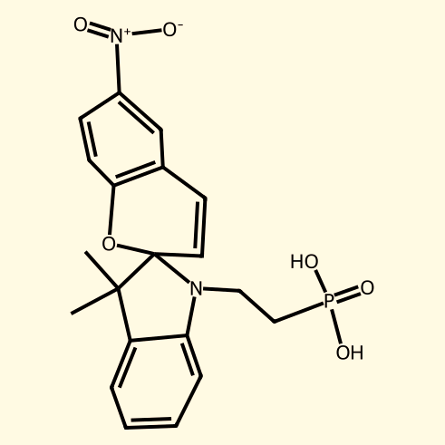 CC1(C)c2ccccc2N(CCP(=O)(O)O)C12C=Cc1cc([N+](=O)[O-])ccc1O2